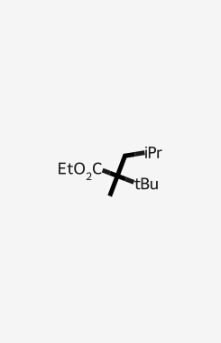 CCOC(=O)C(C)(CC(C)C)C(C)(C)C